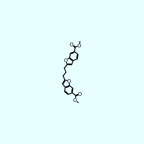 COC(=O)c1ccc2cc(CCCc3cc4ccc(C(=O)OC)cc4o3)oc2c1